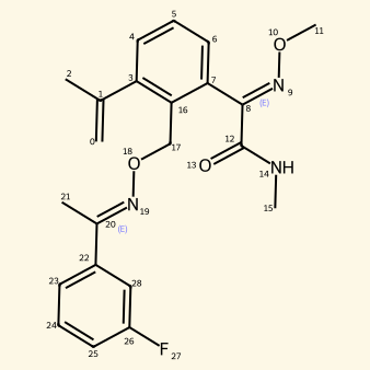 C=C(C)c1cccc(/C(=N\OC)C(=O)NC)c1CO/N=C(\C)c1cccc(F)c1